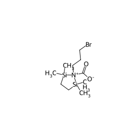 C[Si]1(C)CC[Si](C)(C)[N+]1(CCCBr)C(=O)[O-]